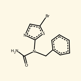 NC(=O)N(Cc1ccccc1)c1ncc(Br)s1